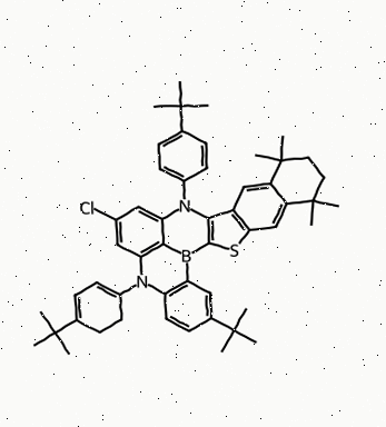 CC(C)(C)C1=CC=C(N2c3ccc(C(C)(C)C)cc3B3c4sc5cc6c(cc5c4N(c4ccc(C(C)(C)C)cc4)c4cc(Cl)cc2c43)C(C)(C)CCC6(C)C)CC1